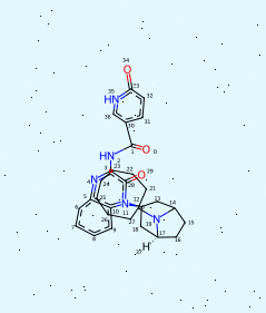 O=C(Nc1nc2ccccc2n([C@H]2CC3CC[C@@H](C2)N3C2CCCCCCC2)c1=O)c1ccc(=O)[nH]c1